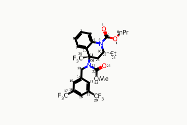 CCCOC(=O)N1c2ccccc2[C@](N(Cc2cc(C(F)(F)F)cc(C(F)(F)F)c2)C(=O)OC)(C(F)(F)F)C[C@H]1CC